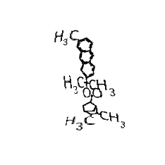 Cc1ccc2cc3ccc(C(C)(C)OC(=O)C4CC5CC4C(C)C5C)cc3cc2c1